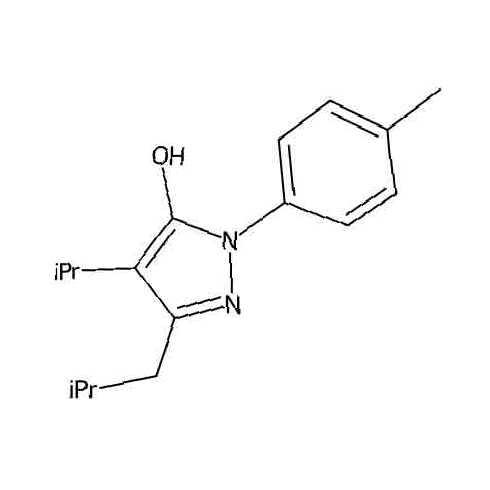 Cc1ccc(-n2nc(CC(C)C)c(C(C)C)c2O)cc1